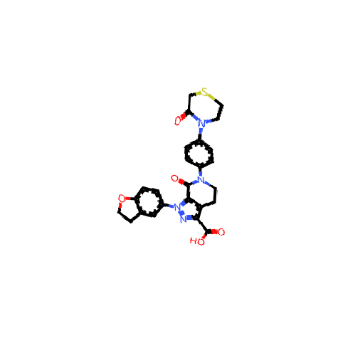 O=C(O)c1nn(-c2ccc3c(c2)CCO3)c2c1CCN(c1ccc(N3CCSCC3=O)cc1)C2=O